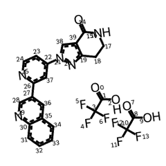 O=C(O)C(F)(F)F.O=C(O)C(F)(F)F.O=C1NCCc2nn(-c3ccnc(-c4cnc5ccccc5c4)c3)cc21